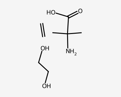 C=C.CC(C)(N)C(=O)O.OCCO